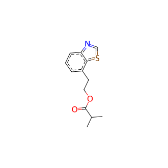 CC(C)C(=O)OCCc1cccc2ncsc12